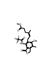 COC(=O)CCC(C)=CCc1c(NC(=O)C(F)(F)F)c2c(c(C)c1OC)COC2=O